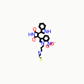 O=C1NC(=O)C(c2cn(CCCN=C=S)c3c([N+](=O)[O-])cccc23)=C1c1c[nH]c2ccccc12